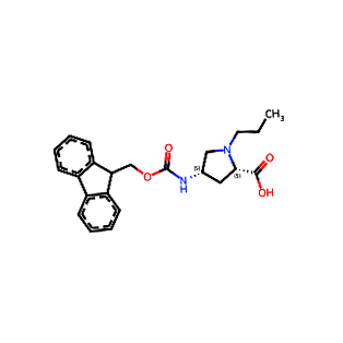 CCCN1C[C@@H](NC(=O)OCC2c3ccccc3-c3ccccc32)C[C@H]1C(=O)O